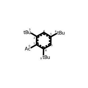 CC(=O)c1c(C(C)(C)C)cc(C(C)(C)C)cc1C(C)(C)C